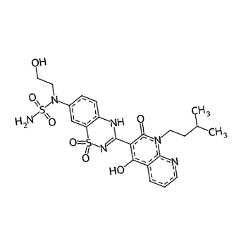 CC(C)CCn1c(=O)c(C2=NS(=O)(=O)c3cc(N(CCO)S(N)(=O)=O)ccc3N2)c(O)c2cccnc21